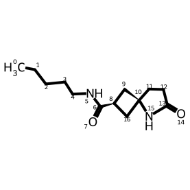 CCCCCNC(=O)[C@H]1C[C@]2(CCC(=O)N2)C1